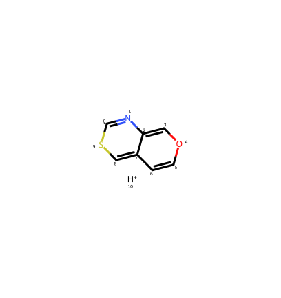 [C]1=NC2=COC=CC2=CS1.[H+]